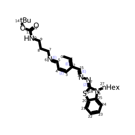 C/C=C(\C=C/C=N/CCCNC(=O)OC(C)(C)C)/C=N/N=c1\sc2ccccc2n1CCCCCC